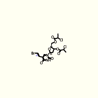 CC(Cl)C(=O)OC[C@@H]1O[C@H](n2cc(/C=C/Br)c(=O)[nH]c2=O)CC1OC(=O)C(C)Cl